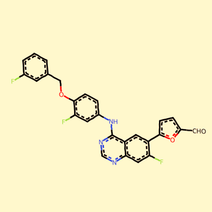 O=Cc1ccc(-c2cc3c(Nc4ccc(OCc5cccc(F)c5)c(F)c4)ncnc3cc2F)o1